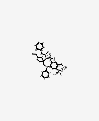 CCCCC1(CC)CN(c2ccccc2)c2cc(S(C)(=O)=O)c(CO)cc2S(=O)(=O)N1B(C)Cc1ccccc1